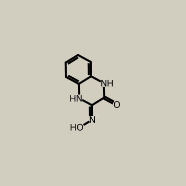 O=c1[nH]c2ccccc2[nH]/c1=N\O